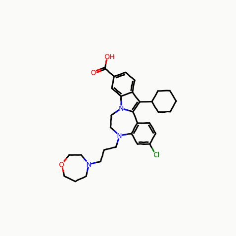 O=C(O)c1ccc2c(C3CCCCC3)c3n(c2c1)CCN(CCCN1CCCOCC1)c1cc(Cl)ccc1-3